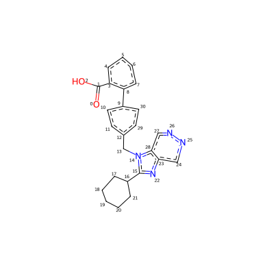 O=C(O)c1ccccc1-c1ccc(Cn2c(C3CCCCC3)nc3cnncc32)cc1